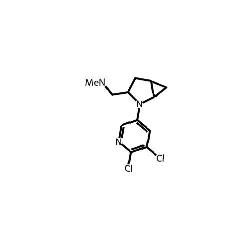 CNCC1CC2CC2N1c1cnc(Cl)c(Cl)c1